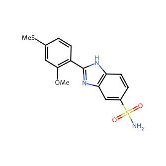 COc1cc(SC)ccc1-c1nc2cc(S(N)(=O)=O)ccc2[nH]1